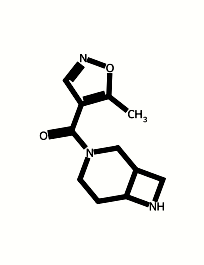 Cc1oncc1C(=O)N1CCC2NCC2C1